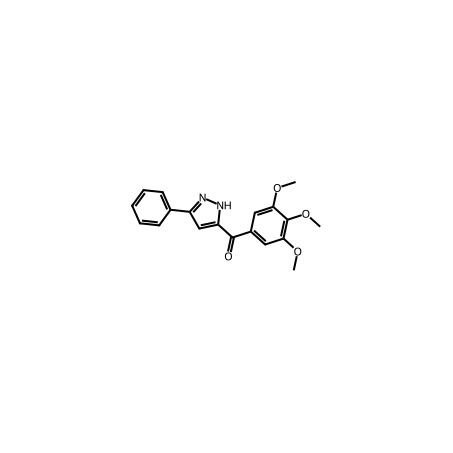 COc1cc(C(=O)c2cc(-c3ccccc3)n[nH]2)cc(OC)c1OC